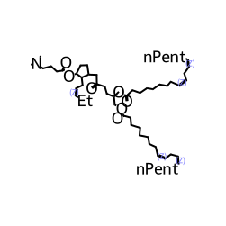 CC/C=C\CC1C(CC(=O)CCC(COC(=O)CCCCCCC/C=C\C/C=C\CCCCC)OC(=O)CCCCCCC/C=C\C/C=C\CCCCC)CCC1OC(=O)CCCN(C)C